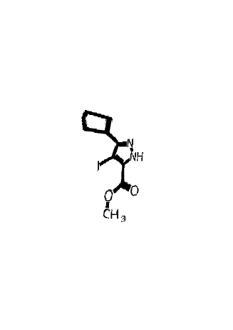 COC(=O)c1[nH]nc(C2CCC2)c1I